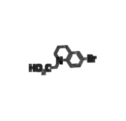 O=C(O)CN1CCCc2cc(Br)ccc21